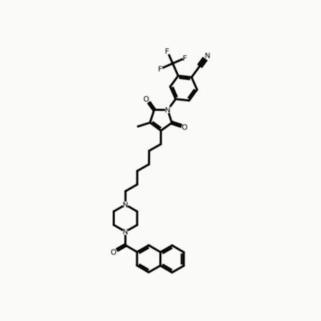 CC1=C(CCCCCCN2CCN(C(=O)c3ccc4ccccc4c3)CC2)C(=O)N(c2ccc(C#N)c(C(F)(F)F)c2)C1=O